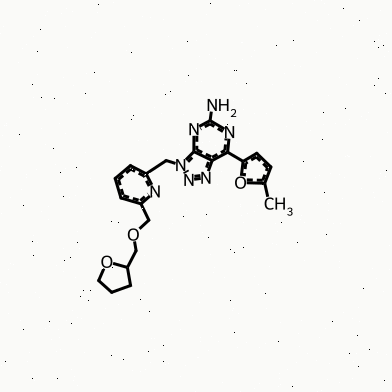 Cc1ccc(-c2nc(N)nc3c2nnn3Cc2cccc(COCC3CCCO3)n2)o1